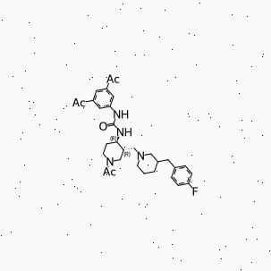 CC(=O)c1cc(NC(=O)N[C@@H]2CCN(C(C)=O)C[C@H]2CN2CCCC(Cc3ccc(F)cc3)C2)cc(C(C)=O)c1